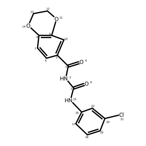 O=C(NC(=O)c1ccc2c(c1)OCCO2)Nc1cc[c]c(Cl)c1